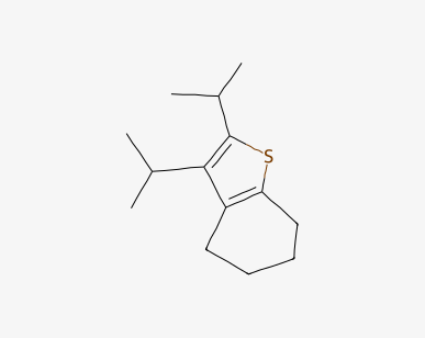 CC(C)c1sc2c(c1C(C)C)CCCC2